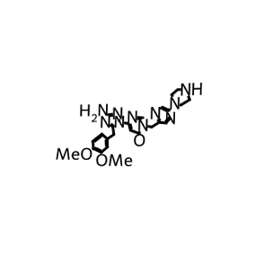 COc1ccc(Cc2nc(N)nn2-c2cc(=O)n(Cc3cnc(N4CCNCC4)cn3)cn2)cc1OC